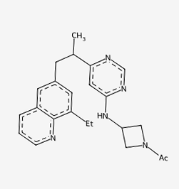 CCc1cc(CC(C)c2cc(NC3CN(C(C)=O)C3)ncn2)cc2cccnc12